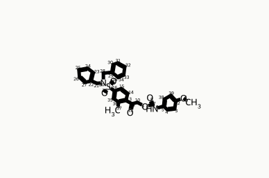 COc1ccc(NC(=O)OCC(=O)c2ccc(S(=O)(=O)N(Cc3ccccc3)Cc3ccccc3)cc2C)cc1